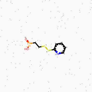 O=[PH](O)CCSSc1ccccn1